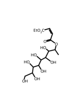 CCOC(=O)/C=C\C(=O)OC(C)C(O)C(O)C(O)C(O)C(O)C(O)CO